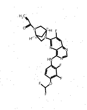 C=CC(=O)N1C[C@@H]2C[C@H]1CN2c1nc2c(Nc3ccc(OC(F)F)c(F)c3F)ncnc2cc1F